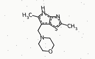 Cc1nc2[nH]c(C)c(CN3CCOCC3)c2s1